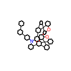 c1ccc(-c2cccc(-c3ccc(N(c4cccc(-c5ccc6c(c5)C5(c7ccccc7Oc7ccccc75)c5ccccc5-6)c4)c4ccccc4-c4ccc5c(c4)-c4ccccc4C54c5ccccc5Oc5ccccc54)cc3)c2)cc1